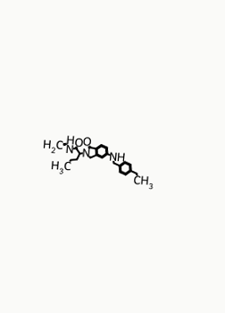 C=CNC(=O)C(CCC)N1Cc2cc(NCc3ccc(CC)cc3)ccc2C1=O